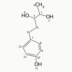 CC(O)C(O)CCc1ccc(O)cc1